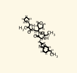 CCC(=O)N[C@@H](Cc1nc2ccc(CC)cc2s1)C(=O)NC(CNC(=O)C(C)CN1CCCC1)C1CCOCC1